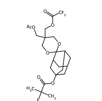 CC(=O)OCC1(COC(=O)C(F)(F)F)COC2(OC1)C1CC3CC2CC(OC(=O)C(C)(C)F)(C3)C1